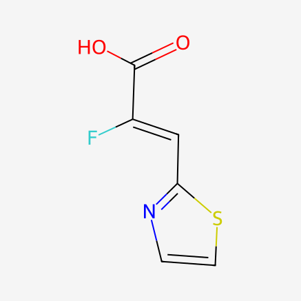 O=C(O)/C(F)=C/c1nccs1